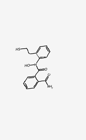 NC(=O)c1ccccc1C(=O)N(O)c1ccccc1CCS